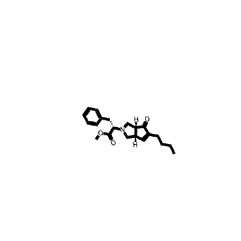 CCCCC1=C[C@@H]2CN([C@@H](Cc3ccccc3)C(=O)OC)C[C@@H]2C1=O